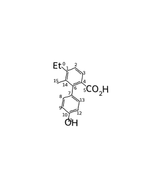 CCc1ccc(C(=O)O)c(-c2ccc(O)cc2)c1C